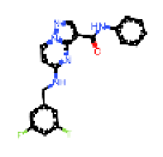 O=C(Nc1ccccc1)c1cnn2ccc(NCc3cc(F)cc(F)c3)nc12